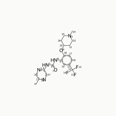 Cc1cnc(NC(=O)Nc2cc(C(F)(F)F)ccc2OC2CCN(C)CC2)cn1